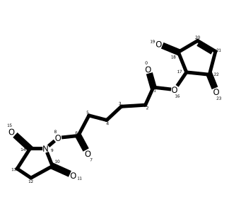 O=C(CCCCC(=O)ON1C(=O)CCC1=O)OC1C(=O)C=CC1=O